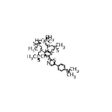 CN(C)c1ccc(-c2cnc(-c3cc(P(CP(C)(C)=S)CP(C)(C)=S)c(P(CP(C)(C)=S)CP(C)(C)=S)s3)s2)cc1